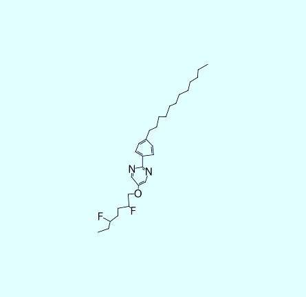 CCCCCCCCCCCCc1ccc(-c2ncc(OCC(F)CCC(F)CC)cn2)cc1